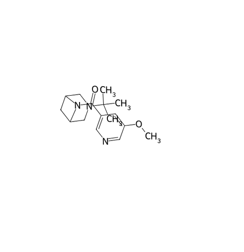 COc1cncc(C(=O)N2C3CC2CN(C(C)(C)C)C3)c1